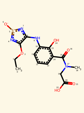 CCOc1n[s+]([O-])nc1Nc1cccc(C(=O)N(C)CC(=O)O)c1O